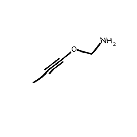 CC#COCN